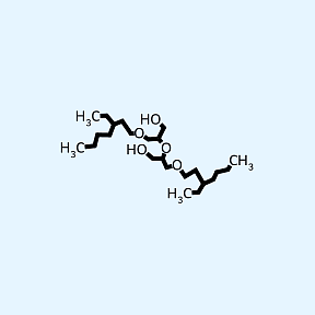 CCCCC(CC)CCOCC(CO)OC(CO)COCCC(CC)CCCC